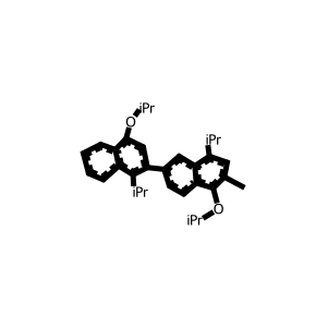 Cc1cc(C(C)C)c2cc(-c3cc(OC(C)C)c4ccccc4c3C(C)C)ccc2c1OC(C)C